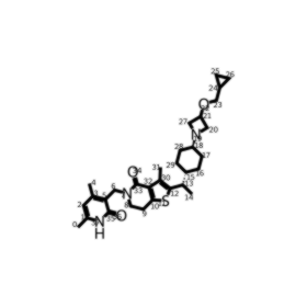 Cc1cc(C)c(CN2CCc3sc(C(C)[C@H]4CC[C@H](N5CC(OCC6CC6)C5)CC4)c(C)c3C2=O)c(=O)[nH]1